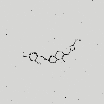 CC1=C(CN2CC(C(=O)O)C2)CCc2cc(OCc3ccc(F)cc3C(F)(F)F)ccc21